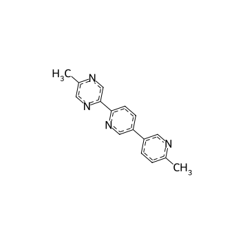 Cc1ccc(-c2ccc(-c3cnc(C)cn3)nc2)cn1